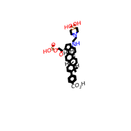 CC1(C)C(c2ccc(C(=O)O)cc2)=CC[C@]2(C)[C@H]3CC[C@@H]4[C@H]5[C@H](C(=O)COS(=O)O)CC[C@]5(NCCN5CCS(O)(O)CC5)CC[C@@]4(C)[C@]3(C)CC[C@@H]12